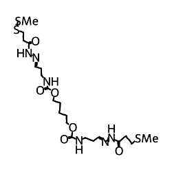 CSCCC(=O)NN=CCCNC(=O)OCCCCCOC(=O)NCCC=NNC(=O)CCSSC